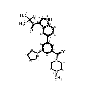 CN1CCN(C(=O)c2cc(-c3ccc4[nH]cc(C(=O)C(C)(C)C)c4c3)cc(N3CCCC3)c2)CC1